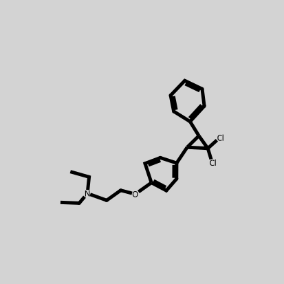 CCN(CC)CCOc1ccc(C2C(c3ccccc3)C2(Cl)Cl)cc1